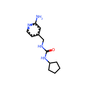 Nc1cc(CNC(=O)NC2CCCC2)ccn1